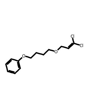 ClC(Cl)=CCOCCCCOc1ccccc1